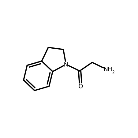 NCC(=O)N1CCc2ccccc21